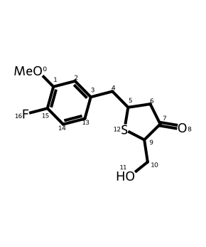 COc1cc(CC2CC(=O)C(CO)S2)ccc1F